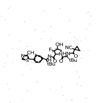 Cc1ncsc1-c1ccc(C(NC(=O)C2[C@@H](F)[C@@H](O)CN2C(=O)[C@@H](NC(=O)C2(C#N)CC2)C(C)(C)C)C(C)(C)C)cc1